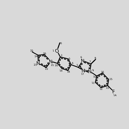 COc1cc(-c2nc(C)n(-c3ccc(F)cc3)n2)ccc1-n1cnc(C)c1